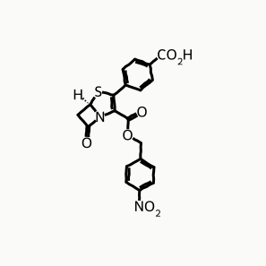 O=C(OCc1ccc([N+](=O)[O-])cc1)C1=C(c2ccc(C(=O)O)cc2)S[C@@H]2CC(=O)N12